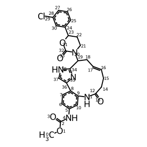 COC(=O)Nc1ccc2c(c1)NC(=O)CC/C=C/CC(N1CCC(c3cccc(Cl)c3)OC1=O)c1nc-2c[nH]1